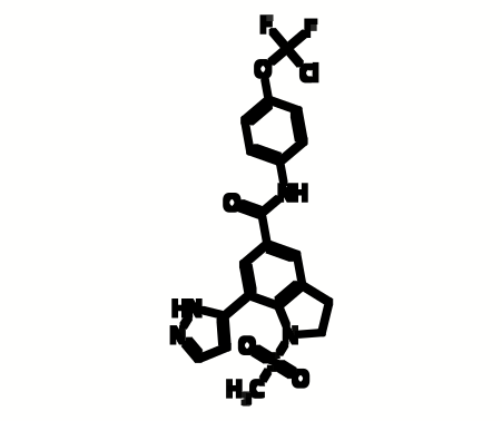 CS(=O)(=O)N1CCc2cc(C(=O)Nc3ccc(OC(F)(F)Cl)cc3)cc(-c3ccn[nH]3)c21